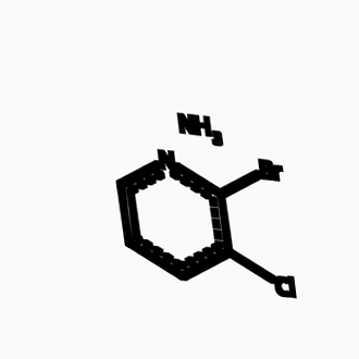 Clc1cccnc1Br.N